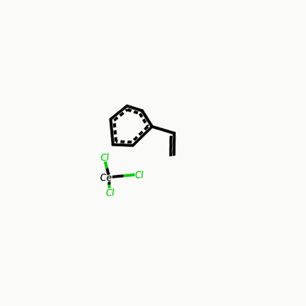 C=Cc1ccccc1.[Cl][Ce]([Cl])[Cl]